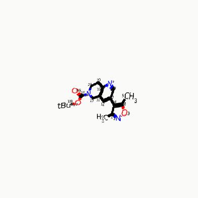 Cc1noc(C)c1-c1cnc2c(c1)CN(C(=O)OC(C)(C)C)CC2